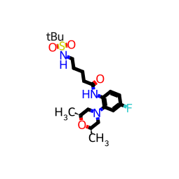 C[C@@H]1CN(c2cc(F)ccc2NC(=O)CCCCNS(=O)(=O)C(C)(C)C)C[C@H](C)O1